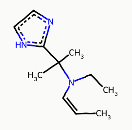 C/C=C\N(CC)C(C)(C)c1ncc[nH]1